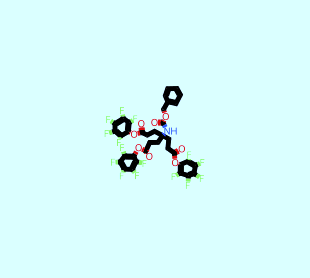 O=C(CCC(CCC(=O)Oc1c(F)c(F)c(F)c(F)c1F)(CCC(=O)Oc1c(F)c(F)c(F)c(F)c1F)NC(=O)OCc1ccccc1)Oc1c(F)c(F)c(F)c(F)c1F